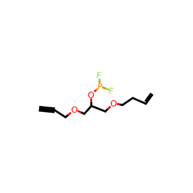 C#CCOCC(COCCC=C)OP(F)F